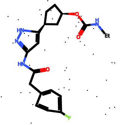 CCNC(=O)O[C@@H]1CC[C@H](c2cc(NC(=O)Cc3ccc(F)cc3)n[nH]2)C1